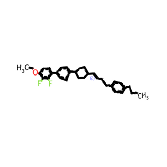 CCCCc1ccc(CC/C=C/C2CCC(c3ccc(-c4ccc(OCC)c(F)c4F)cc3)CC2)cc1